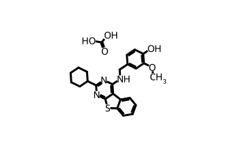 COc1cc(CNc2nc(C3CCCCC3)nc3sc4ccccc4c23)ccc1O.O=C(O)O